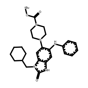 CC(C)(C)OC(=O)N1CCN(c2cc3c(cc2Nc2ccccc2)[nH]c(=O)n3CC2CCCCC2)CC1